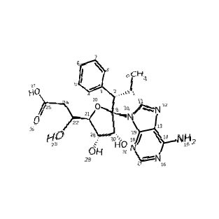 CC[C@@H](c1ccccc1)[C@@]1(n2cnc3c(N)ncnc32)O[C@H](C(O)CC(=O)O)[C@@H](O)[C@H]1O